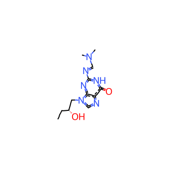 CC[C@@H](O)Cn1cnc2c(=O)[nH]c(/N=C/N(C)C)nc21